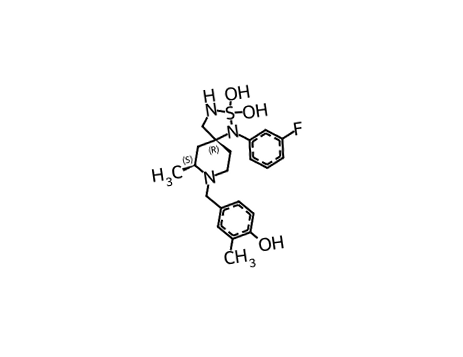 Cc1cc(CN2CC[C@]3(CNS(O)(O)N3c3cccc(F)c3)C[C@@H]2C)ccc1O